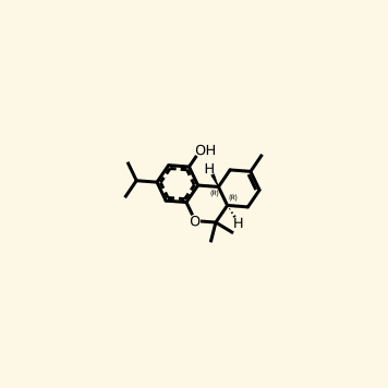 CC1=CC[C@@H]2[C@@H](C1)c1c(O)cc(C(C)C)cc1OC2(C)C